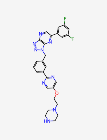 Fc1cc(F)cc(-c2cnc3nnn(Cc4cccc(-c5ncc(OCCN6CCNCC6)cn5)c4)c3n2)c1